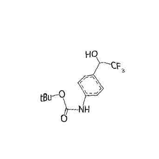 CC(C)(C)OC(=O)Nc1ccc(C(O)C(F)(F)F)cc1